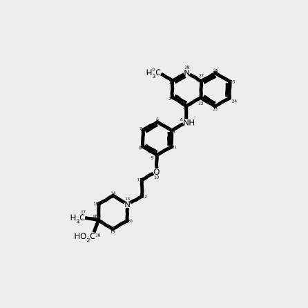 Cc1cc(Nc2cccc(OCCN3CCC(C)(C(=O)O)CC3)c2)c2ccccc2n1